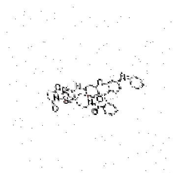 CN(c1ccccc1)c1ccc2c(-c3ccccc3S(=O)(=O)N3CCC(C(=O)ON4C(=O)CCC4=O)CC3)c3cc/c(=[N+](/C)c4ccccc4)cc-3oc2c1